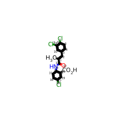 C/C(=C\c1ccc(Cl)c(Cl)c1)C(=O)Nc1ccc(Cl)cc1C(=O)O